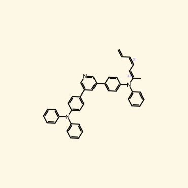 C=C/C=C\C=C(/C)N(c1ccccc1)c1ccc(-c2cncc(-c3ccc(N(c4ccccc4)c4ccccc4)cc3)c2)cc1